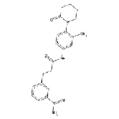 Cc1cc(NC(=O)CCc2cccc(C(=N)N)c2)ccc1N1CCCCC1=O